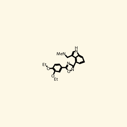 CCOc1ccc(-c2nc(-c3cccc4[nH]cc(CNC)c34)no2)cc1OCC